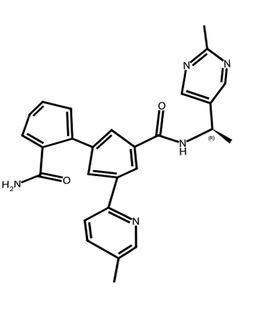 Cc1ccc(-c2cc(C(=O)N[C@H](C)c3cnc(C)nc3)cc(-c3ccccc3C(N)=O)c2)nc1